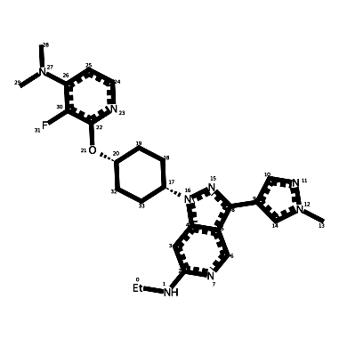 CCNc1cc2c(cn1)c(-c1cnn(C)c1)nn2[C@H]1CC[C@@H](Oc2nccc(N(C)C)c2F)CC1